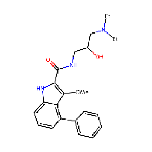 CCN(CC)CC(O)CNC(=O)c1[nH]c2cccc(-c3ccccc3)c2c1OC